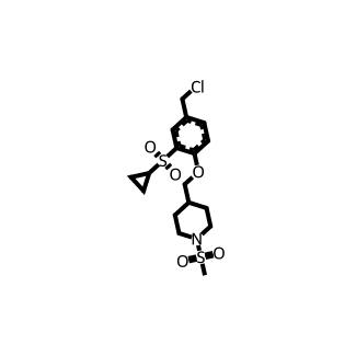 CS(=O)(=O)N1CCC(COc2ccc(CCl)cc2S(=O)(=O)C2CC2)CC1